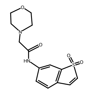 O=C(CN1CCOCC1)Nc1ccc2c(c1)S(=O)(=O)C=C2